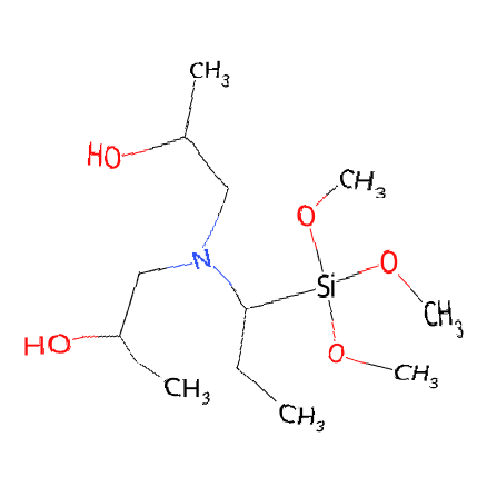 CCC(N(CC(C)O)CC(C)O)[Si](OC)(OC)OC